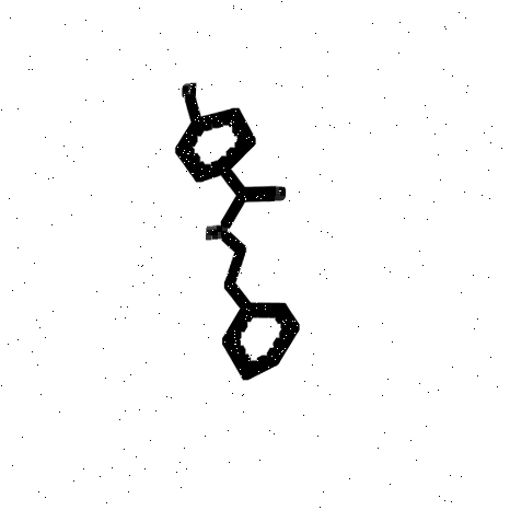 O=C(NCCc1ccccc1)c1ccc(Cl)cc1